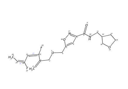 C=C(COCc1cc(C(=O)NCC2CCOC2)no1)/C(F)=C\C(F)=C/C